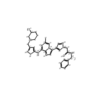 CCC1CCCN(Cc2cc(Nc3nc(C)cn4c(-c5cnn(CC(=O)N[C@H](C)c6ccccc6)c5)cnc34)sn2)C1